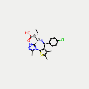 CC[C@@H](C(=O)O)[C@@H]1N=C(c2ccc(Cl)cc2)c2c(sc(C)c2C)-n2c(C)nnc21